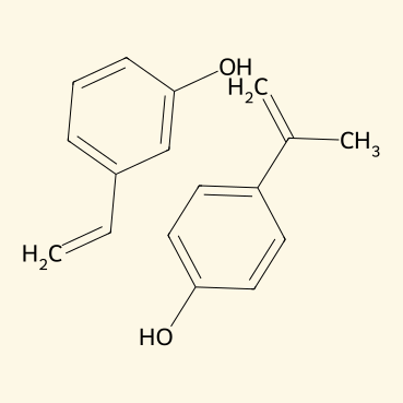 C=C(C)c1ccc(O)cc1.C=Cc1cccc(O)c1